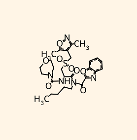 CCCCCN(C(=O)c1nc2ccccc2o1)C(=O)C(CS(=O)(=O)Cc1c(C)noc1C)NC(=O)N1CCOCC1